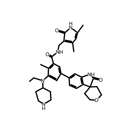 CCN(c1cc(-c2ccc3c(c2)NC(=O)C32CCOCC2)cc(C(=O)NCc2c(C)cc(C)[nH]c2=O)c1C)C1CCNCC1